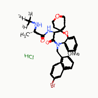 Cl.[2H]C([2H])([2H])N[C@@H](C)C(=O)N[C@@H]1C(=O)N(Cc2c(OC)ccc3cc(Br)ccc23)c2ccccc2OC12CCOCC2